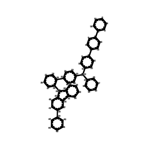 c1ccc(-c2ccc(-c3ccc(N(c4ccccc4)c4ccc(-c5ccccc5-n5c6ccccc6c6cc(-c7ccccc7)ccc65)cc4)cc3)cc2)cc1